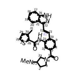 CNC1CCN(C(=O)c2ccc(/C=C/c3n[nH]c4ccccc34)c(NC(=O)c3sccc3C)c2)C1